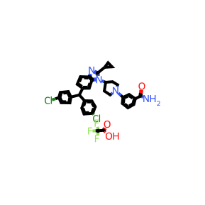 NC(=O)c1cccc(N2CCC(n3c(C4CC4)nc4ccc(C(c5ccc(Cl)cc5)c5ccc(Cl)cc5)cc43)CC2)c1.O=C(O)C(F)(F)F